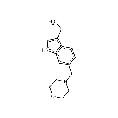 C[CH]c1c[nH]c2cc(CN3CCOCC3)ccc12